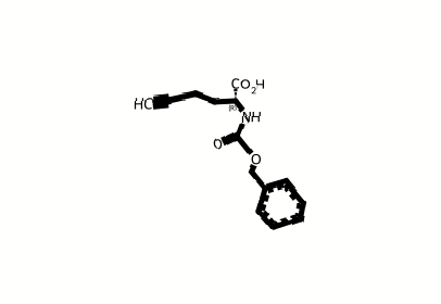 C#CCC[C@@H](NC(=O)OCc1ccccc1)C(=O)O